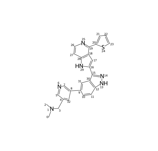 CN(C)Cc1cncc(-c2ccc3[nH]nc(-c4cc5c(-c6cccs6)nccc5[nH]4)c3c2)c1